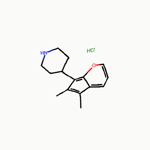 Cc1c2cccoc-2c(C2CCNCC2)c1C.Cl